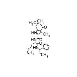 CCCCC(NC(=O)c1[nH]c2c(c1C)C(=O)CC(C)(C)C2)C(=O)N[C@@H](CC)c1ccccc1